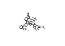 Cc1ccccc1N1CCN(C(=O)N[C@@H](C(=O)Nc2nc(CN(C)C)cs2)[C@H](C)c2c[nH]c3ccccc23)CC1